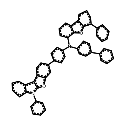 c1ccc(-c2ccc(N(c3ccc(-c4ccc5c(c4)oc4c5c5ccccc5n4-c4ccccc4)cc3)c3cccc4c3oc3c(-c5ccccc5)cccc34)cc2)cc1